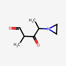 CC([C]=O)C(=O)C(C)N1CC1